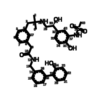 CC(C)(Cc1cccc(CC(=O)NCc2cccc(-c3ccccc3O)c2)c1)NC[C@H](O)c1ccc(O)c(NS(C)(=O)=O)c1